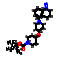 CC(C)(C)OC(=O)N1CCC(OC2CCN(c3cccc4c3CCCN4)CC2)CC1